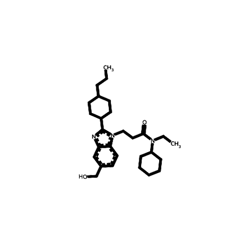 CCCC1CCC(c2nc3cc(CO)ccc3n2CCC(=O)N(CC)C2CCCCC2)CC1